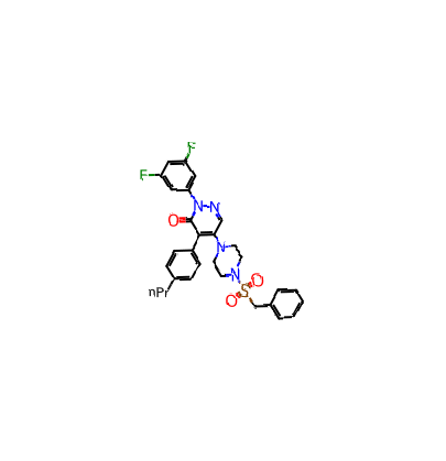 CCCc1ccc(-c2c(N3CCN(S(=O)(=O)Cc4ccccc4)CC3)cnn(-c3cc(F)cc(F)c3)c2=O)cc1